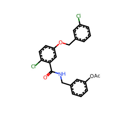 CC(=O)Oc1cccc(CNC(=O)c2cc(OCc3cccc(Cl)c3)ccc2Cl)c1